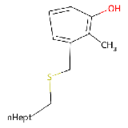 CCCCCCCCSCc1cccc(O)c1C